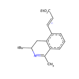 CCOC(=O)/C=C/c1cccc2c1CC(C(C)(C)C)N=C2C